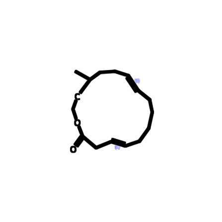 CC1CC/C=C/CCCC/C=C/CC(=O)OCC1